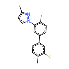 Cc1ccn(-c2cc(-c3ccc(C)c(F)c3)ccc2C)n1